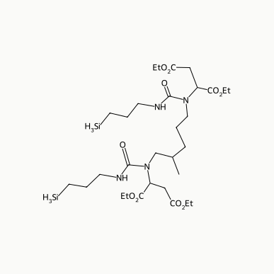 CCOC(=O)CC(C(=O)OCC)N(CCCC(C)CN(C(=O)NCCC[SiH3])C(CC(=O)OCC)C(=O)OCC)C(=O)NCCC[SiH3]